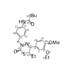 CCOc1cc(C2=NN(Cc3ccc(NC(=O)C(C)(C)C)cc3)C(=O)SC2CC)ccc1OC